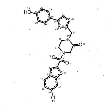 O=C1CN(S(=O)(=O)c2cc3ccc(Cl)cc3s2)CCN1Cc1nc(-c2ccc(O)cc2)cs1